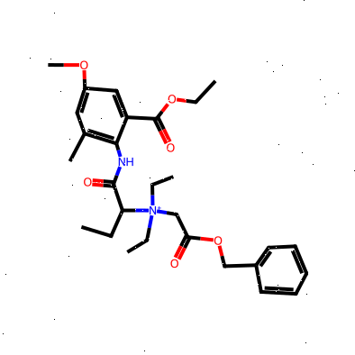 CCOC(=O)c1cc(OC)cc(C)c1NC(=O)C(CC)[N+](CC)(CC)CC(=O)OCc1ccccc1